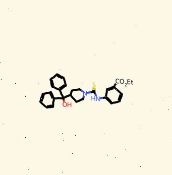 CCOC(=O)c1cccc(NC(=S)N2CCC(C(O)(c3ccccc3)c3ccccc3)CC2)c1